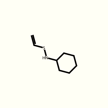 C=CSNC1CCCCC1